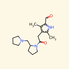 Cc1[nH]c(C=O)c(C)c1CC(=O)N1CCCC1CN1CCCC1